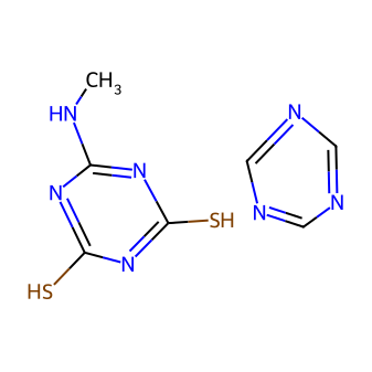 CNc1nc(S)nc(S)n1.c1ncncn1